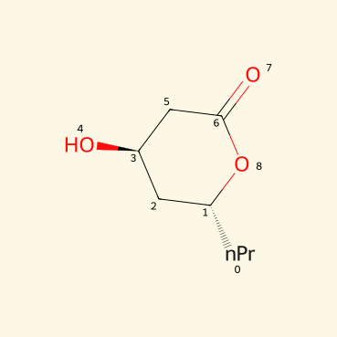 CCC[C@@H]1C[C@@H](O)CC(=O)O1